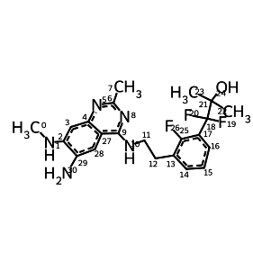 CNc1cc2nc(C)nc(NCCc3cccc(C(F)(F)C(C)(C)O)c3F)c2cc1N